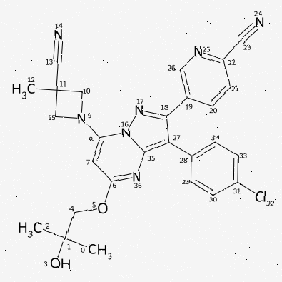 CC(C)(O)COc1cc(N2CC(C)(C#N)C2)n2nc(-c3ccc(C#N)nc3)c(-c3ccc(Cl)cc3)c2n1